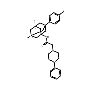 O=C(CN1CCN(c2ccccn2)CC1)NC12C[C@H]3C[C@@H](C1)CC(c1ccc(F)cc1)(C3)C2